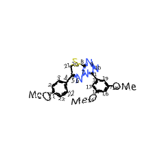 COc1ccc(C2=Nn3c(nnc3-c3cc(OC)cc(OC)c3)SC2)cc1